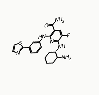 NC(=O)c1cc(F)c(N[C@@H]2CCCC[C@@H]2N)nc1Nc1cccc(-c2nccs2)c1